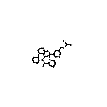 CC(Nc1nc(-c2cncc(COC(N)=O)c2)nc2cccc(-c3ccccc3)c12)c1ccccn1